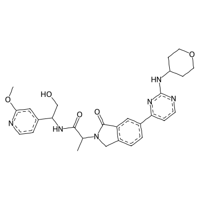 COc1cc(C(CO)NC(=O)C(C)N2Cc3ccc(-c4ccnc(NC5CCOCC5)n4)cc3C2=O)ccn1